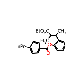 CCCc1ccc(C(=O)Oc2ccccc2C(C)C(C)C(=O)OCC)cc1